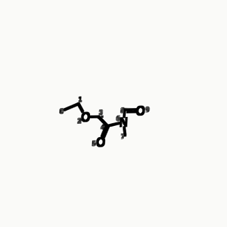 CCO[CH]C(=O)N(C)C=O